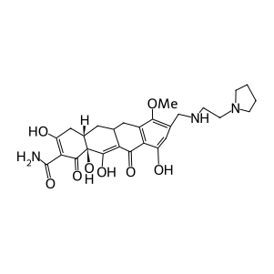 COc1c(CNCCN2CCCC2)cc(O)c2c1CC1C[C@H]3CC(O)=C(C(N)=O)C(=O)[C@@]3(O)C(O)=C1C2=O